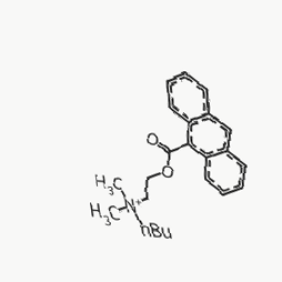 CCCC[N+](C)(C)CCOC(=O)c1c2ccccc2cc2ccccc12